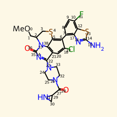 COCC1CSc2c(-c3ccc(F)c4sc(N)nc34)c(Cl)cc3c(N4CCN(C(=O)C5CN5)CC4)nc(=O)n1c23